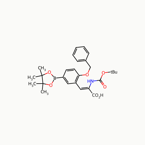 CC(C)(C)OC(=O)N/C(=C\c1cc(B2OC(C)(C)C(C)(C)O2)ccc1OCc1ccccc1)C(=O)O